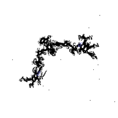 COc1cc(/C=C2\C(=O)c3cc(C#N)c(C#N)cc3C2=C(C#N)C#N)sc1-c1cc2c(s1)-c1sc(-c3c4nsnc4c(-c4cc5c(s4)-c4sc(-c6sc(/C=C7\C(=O)c8cc(C#N)c(C#N)cc8C7=C(C#N)C#N)cc6OC)cc4C5(C)C)c4nc5c(nc34)C(=O)c3ccccc3-5)cc1C2(C)C